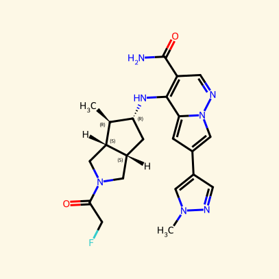 C[C@@H]1[C@H]2CN(C(=O)CF)C[C@H]2C[C@H]1Nc1c(C(N)=O)cnn2cc(-c3cnn(C)c3)cc12